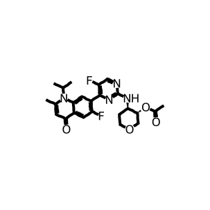 CC(=O)O[C@@H]1COCC[C@H]1Nc1ncc(F)c(-c2cc3c(cc2F)c(=O)cc(C)n3C(C)C)n1